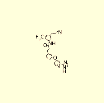 CN(C)CCCc1cc(NC(=O)CCc2cccc(Oc3ccnc(C4=NCCN4)c3)c2)cc(C(F)(F)F)c1